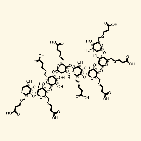 O=C(O)CCSC[C@H]1O[C@H](O[C@H]2[C@H](O)C[C@@H](O[C@H]3[C@H](O)C[C@@H](O[C@H]4[C@H](O)[C@@H](O)[C@@H](O[C@H]5[C@H](O)C[C@@H](O[C@H]6[C@H](O)[C@@H](O)[C@@H](O[C@H]7[C@H](O)C[C@@H](O[C@H]8[C@H](O)[C@@H](O)CO[C@@H]8CSCCC(=O)O)O[C@@H]7CSCCC(=O)O)O[C@@H]6CSCCC(=O)O)O[C@@H]5CSCCC(=O)O)O[C@@H]4CSCCC(=O)O)O[C@@H]3CSCCC(=O)O)O[C@@H]2CSCCC(=O)O)C[C@@H](O)[C@@H]1O